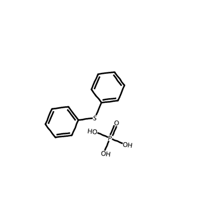 O=P(O)(O)O.c1ccc(Sc2ccccc2)cc1